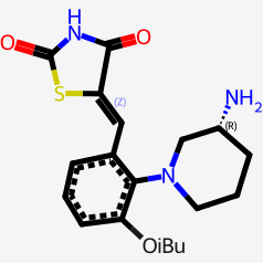 CC(C)COc1cccc(/C=C2\SC(=O)NC2=O)c1N1CCC[C@@H](N)C1